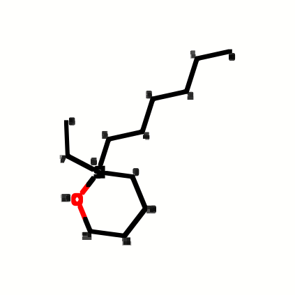 CCCCCC[Si]1(CC)CCCCO1